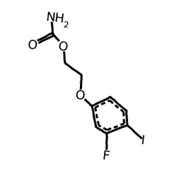 NC(=O)OCCOc1ccc(I)c(F)c1